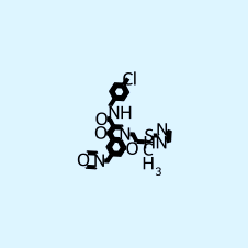 CC(Sc1ncc[nH]1)C1Cn2cc(C(=O)NCc3ccc(Cl)cc3)c(=O)c3cc(CN4CCOCC4)cc(c32)O1